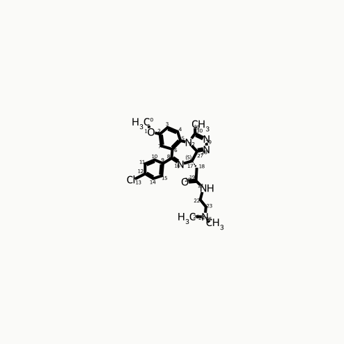 COc1ccc2c(c1)C(c1ccc(Cl)cc1)=N[C@@H](CC(=O)NCCN(C)C)c1nnc(C)n1-2